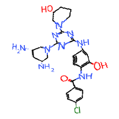 N[C@@H]1C[C@H](N)CN(c2nc(Nc3ccc(NC(=O)c4ccc(Cl)cc4)c(O)c3)nc(N3CCCC(O)C3)n2)C1